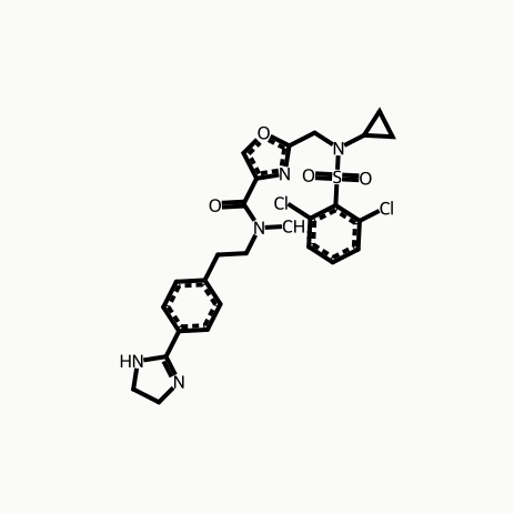 CN(CCc1ccc(C2=NCCN2)cc1)C(=O)c1coc(CN(C2CC2)S(=O)(=O)c2c(Cl)cccc2Cl)n1